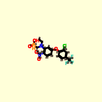 CCN(C[PH](=O)O)c1cc(Oc2ccc(C(F)(F)F)cc2Cl)ccc1[N+](=O)[O-]